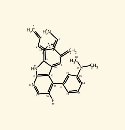 C=C/C=C\C(=C/N)C(=C)/C=c1\c(=C/N)[nH]c2ncc(F)c(-c3cccc(N(C)C)c3)c12